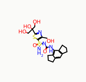 NS(=O)(=NC(=O)Nc1c2c(cc3c1CCC3)CCC2)c1sc(C(O)(CO)CO)nc1CO